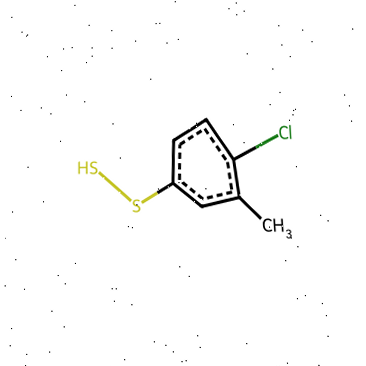 Cc1cc(SS)ccc1Cl